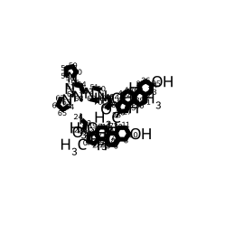 C[C@@H]1C[C@H]2[C@@H]3CC=C4C[C@@H](O)CC[C@]4(C)[C@H]3CC[C@]2(C)[C@H]1C(=O)CI.C[C@@H]1C[C@H]2[C@@H]3CC=C4C[C@@H](O)CC[C@]4(C)[C@H]3CC[C@]2(C)[C@H]1C(=O)CN1CCN(c2cc(N3CCCC3)nc(N3CCCC3)n2)CC1